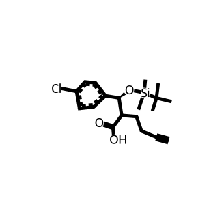 C#CCCC(C(=O)O)[C@H](O[Si](C)(C)C(C)(C)C)c1ccc(Cl)cc1